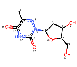 Cc1nn([C@H]2CC(O)[C@@H](CO)O2)c(=O)[nH]c1=O